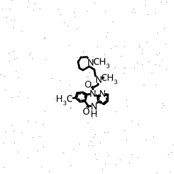 Cc1ccc2c(c1)C(=O)Nc1cccnc1N2C(=O)CN(C)CCC1CCCCCN1C